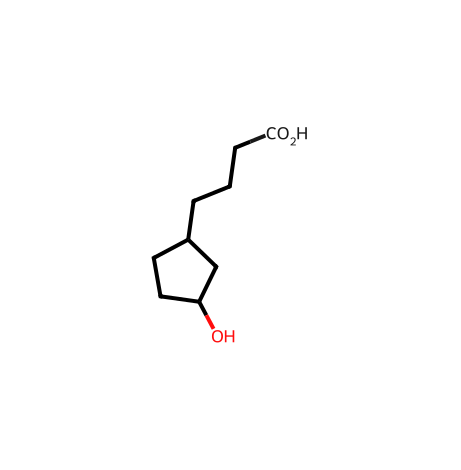 O=C(O)CCCC1CCC(O)C1